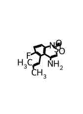 CC(C)=Cc1c(F)ccc2c1C(N)=CS(=O)(=O)N2